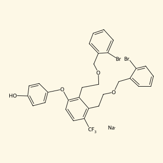 Oc1ccc(Oc2ccc(C(F)(F)F)c(CCOCc3ccccc3Br)c2CCOCc2ccccc2Br)cc1.[Na]